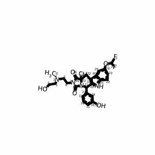 CN(CCO)CCN1C(=O)N2C(c3cccc(O)c3)c3[nH]c4ccc(OC(F)F)cc4c3CC2(C)C1=O